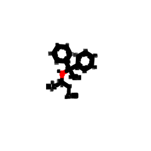 C[C@H](CC=O)O[Si](c1ccccc1)(c1ccccc1)C(C)(C)C